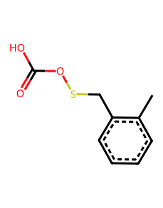 Cc1ccccc1CSOC(=O)O